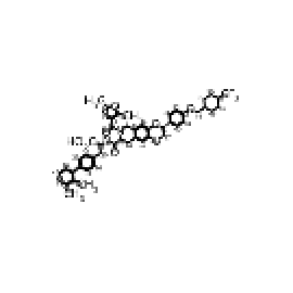 Cc1nc(C(=O)N2Cc3cc4c(cc3C[C@H]2C(=O)N[C@@H](Cc2ccc(-c3ccnc(C)c3C)cc2)C(=O)O)OC[C@H](c2ccc(OCC3CCC(C(F)(F)F)CC3)cc2)O4)c(C)o1